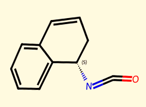 O=C=N[C@H]1CC=Cc2ccccc21